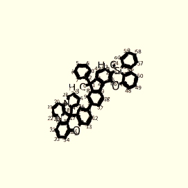 CC1(c2ccccc2)c2cc(-c3ccc4c(c3)C(c3ccccn3)(c3ccccn3)c3ccccc3O4)ccc2-c2c1ccc1c2Oc2ccccc2[Si]1(C)c1ccccc1